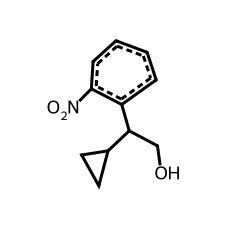 O=[N+]([O-])c1ccccc1C(CO)C1CC1